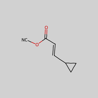 N#COC(=O)C=CC1CC1